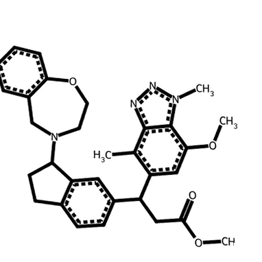 COC(=O)CC(c1ccc2c(c1)C(N1CCOc3ccccc3C1)CC2)c1cc(OC)c2c(nnn2C)c1C